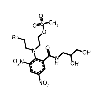 CS(=O)(=O)OCCN(CCBr)c1c(C(=O)NCC(O)CO)cc([N+](=O)[O-])cc1[N+](=O)[O-]